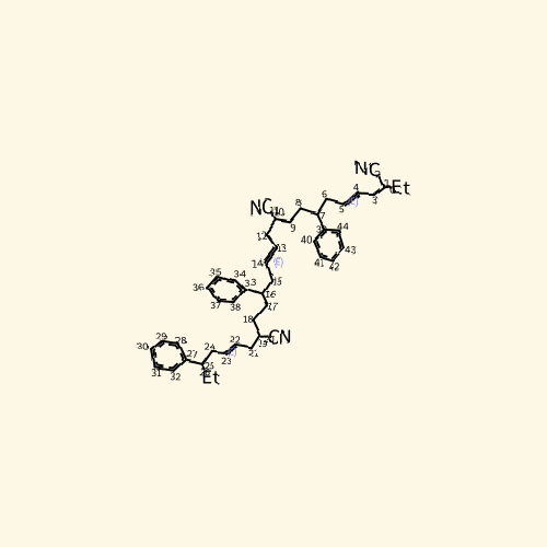 CCC(C#N)C/C=C/CC(CCC(C#N)C/C=C/CC(CCC(C#N)C/C=C/CC(CC)c1ccccc1)c1ccccc1)c1ccccc1